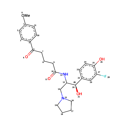 COc1ccc(C(=O)CCCC(=O)NC(CN2CCCC2)[C@H](O)c2ccc(O)c(F)c2)cc1